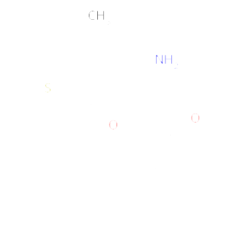 CC1=CSC2OC(C(=O)c3ccccc3)=C(N)C12